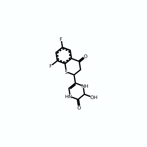 O=C1CC(C2=CNC(=O)C(O)N2)Sc2c(F)cc(F)cc21